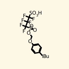 CCC(C)c1ccc(OCOS(=O)(=O)C(F)(F)C(F)(F)C(F)(F)S(=O)(=O)O)cc1